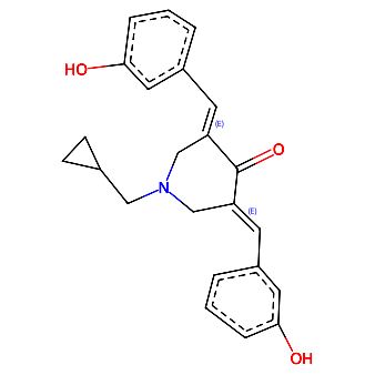 O=C1/C(=C/c2cccc(O)c2)CN(CC2CC2)C/C1=C\c1cccc(O)c1